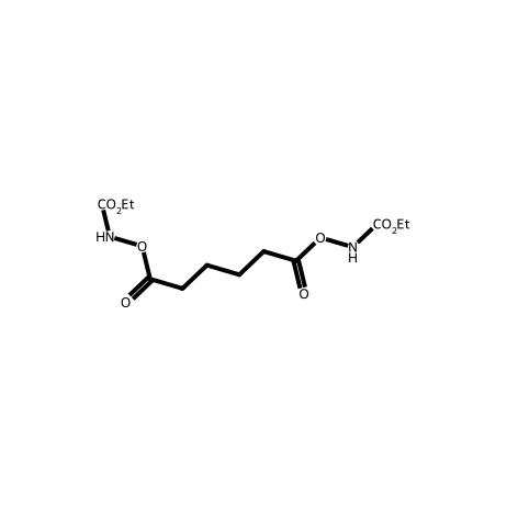 CCOC(=O)NOC(=O)CCCCC(=O)ONC(=O)OCC